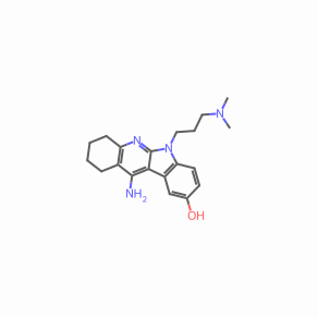 CN(C)CCCn1c2ccc(O)cc2c2c(N)c3c(nc21)CCCC3